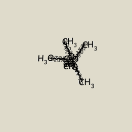 CCCCC=CC=COC[C@H]1OC(OC)[C@H](OC=CC=CCCCC)[C@@H](OC=CC=CCCCC)[C@@H]1OC=CC=CCCCC